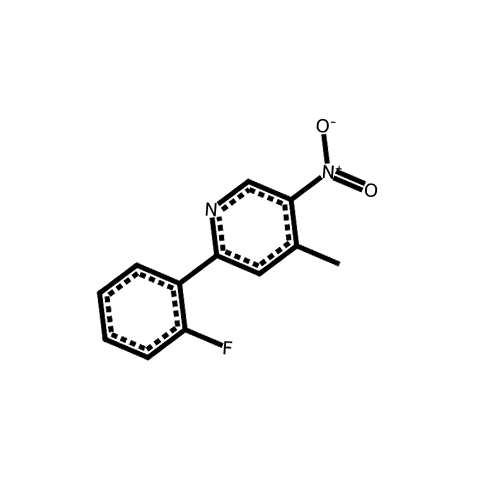 Cc1cc(-c2ccccc2F)ncc1[N+](=O)[O-]